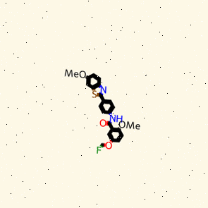 COc1ccc2nc(-c3ccc(NC(=O)c4cc(OCF)ccc4OC)cc3)sc2c1